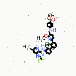 C=Cc1cnc2c(Nc3cccc(-c4cccc(-c5ccc(CNC67CCC(C(=O)OC)(CC6)C7)c(OC)n5)c4Cl)c3C)nc(C(F)F)nc2c1